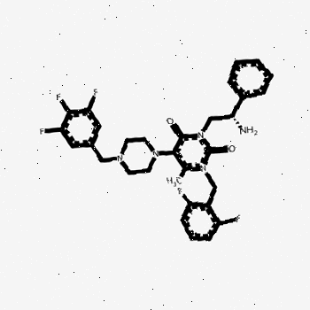 Cc1c(N2CCN(Cc3cc(F)c(F)c(F)c3)CC2)c(=O)n(C[C@@H](N)c2ccccc2)c(=O)n1Cc1c(F)cccc1F